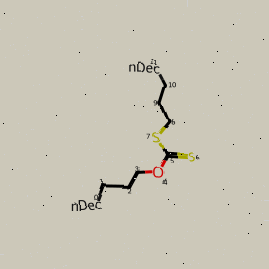 CCCCCCCCCCCCCOC(=S)SCCCCCCCCCCCCC